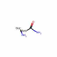 CNC(N)=O.NC=O